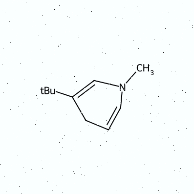 CN1C=CCC(C(C)(C)C)=C1